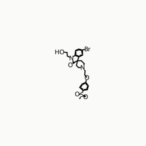 CS(=O)(=O)c1ccc(OCCN2CCC3(CC2)C(=O)N(CCO)c2ccc(Br)cc23)cc1